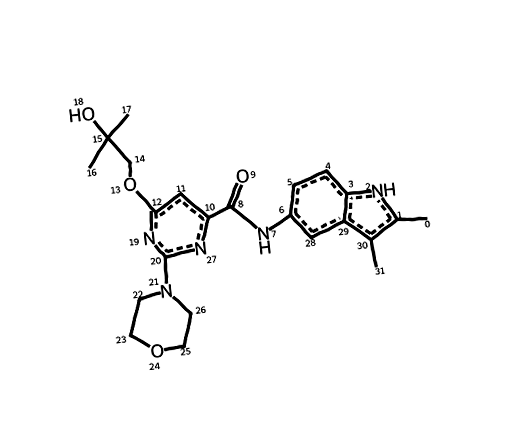 Cc1[nH]c2ccc(NC(=O)c3cc(OCC(C)(C)O)nc(N4CCOCC4)n3)cc2c1C